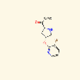 COC(=O)[C@@H]1C[C@@H](Oc2ncccc2Br)CN1